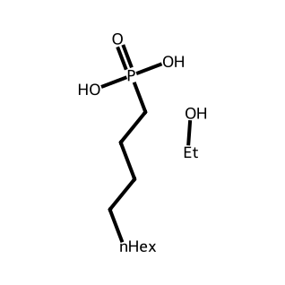 CCCCCCCCCCP(=O)(O)O.CCO